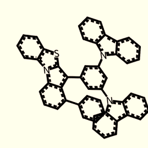 c1ccc(-c2cccc3c2c(-c2cc(-n4c5ccccc5c5ccccc54)cc(-n4c5ccccc5c5ccccc54)c2)c2sc4ccccc4n23)cc1